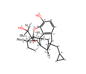 CO[C@]12CC[C@@]3(C[C@@H]1C(C)(O)C(C)(C)C)[C@H]1Cc4ccc(O)c5c4[C@@]3(CCC1CC1CC1)[C@H]2O5